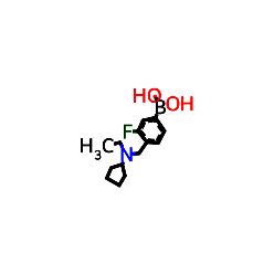 CCN(Cc1ccc(B(O)O)cc1F)C1CCCC1